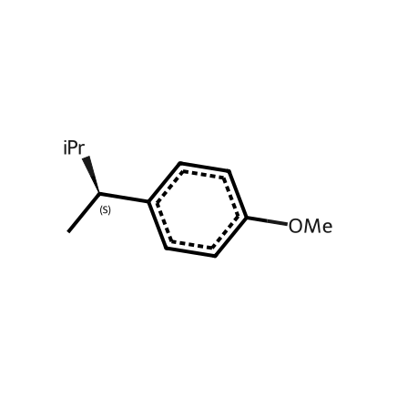 COc1ccc([C@@H](C)C(C)C)cc1